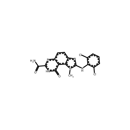 Cn1c(Nc2c(Cl)cccc2Cl)nc2ccc3nc(C(N)=O)[nH]c(=O)c3c21